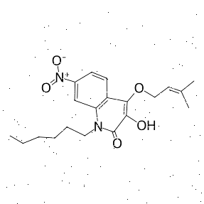 CCCCCCn1c(=O)c(O)c(OCC=C(C)C)c2ccc([N+](=O)[O-])cc21